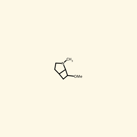 COC1CC2CCN(C)C21